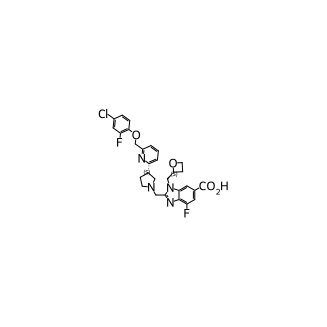 O=C(O)c1cc(F)c2nc(CN3CC[C@H](c4cccc(COc5ccc(Cl)cc5F)n4)C3)n(C[C@@H]3CCO3)c2c1